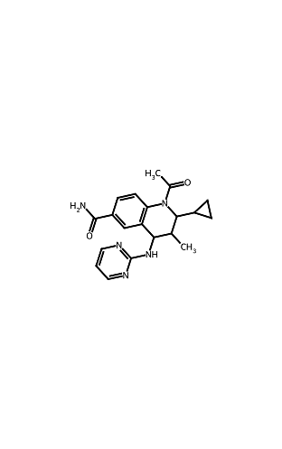 CC(=O)N1c2ccc(C(N)=O)cc2C(Nc2ncccn2)C(C)C1C1CC1